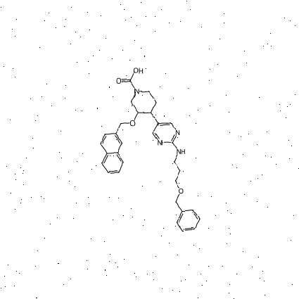 O=C(O)N1CCC(c2cnc(NCCCOCc3ccccc3)nc2)C(OCc2ccc3ccccc3c2)C1